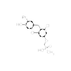 CC(C)c1cc(Cc2c(Cl)cc(OCP(C)(=O)O)cc2Cl)ccc1O